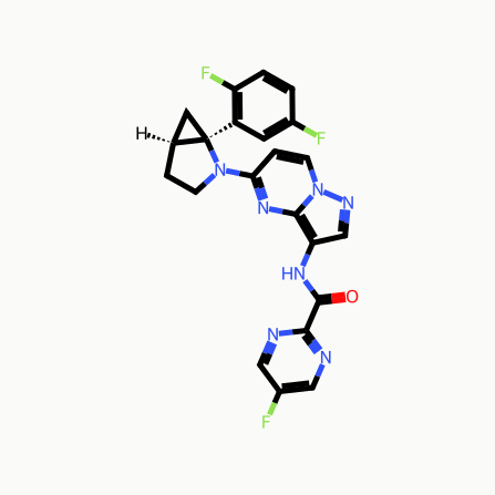 O=C(Nc1cnn2ccc(N3CC[C@H]4C[C@]43c3cc(F)ccc3F)nc12)c1ncc(F)cn1